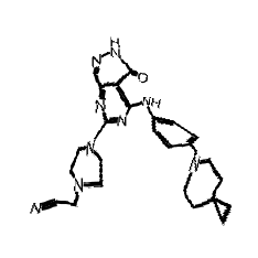 N#CCN1CCN(c2nc(Nc3ccc(N4CCC5(CC4)CC5)cc3)c3c(=O)[nH]ncc3n2)CC1